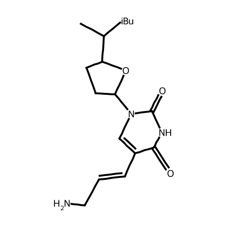 CCC(C)C(C)C1CCC(n2cc(/C=C/CN)c(=O)[nH]c2=O)O1